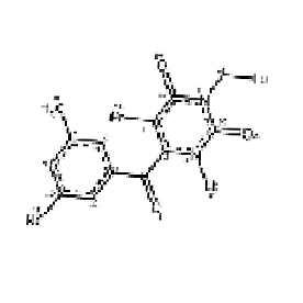 CCn1c(C(=O)c2cc(C)cc(C#N)c2)c(C(C)C)c(=O)n(CI)c1=O